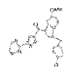 COc1ccc2c(c1)c(C(=O)c1cnn(-c3ncccn3)c1)cn2Cc1ccc(Cl)cc1